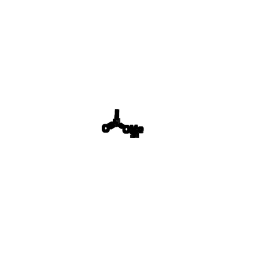 CO[Si](C)=O.[Si]